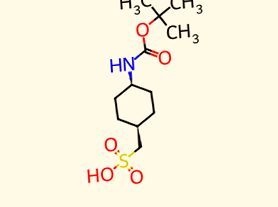 CC(C)(C)OC(=O)N[C@H]1CC[C@@H](CS(=O)(=O)O)CC1